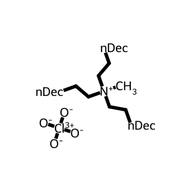 CCCCCCCCCCCC[N+](C)(CCCCCCCCCCCC)CCCCCCCCCCCC.[O-][Cl+3]([O-])([O-])[O-]